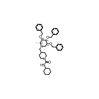 C[C@@H]1[C@@H](OCc2ccccc2)[C@H](OCc2ccccc2)[C@@H](OCc2ccccc2)CN1CC1CCN(C(=O)NC2CCCCC2)CC1